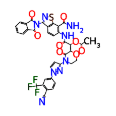 CC(=O)OC(C(=O)Nc1ccc2c(N3C(=O)c4ccccc4C3=O)nsc2c1C(N)=O)C1OCCN(c2ccn(-c3ccc(C#N)c(C(F)(F)F)c3)n2)C1=O